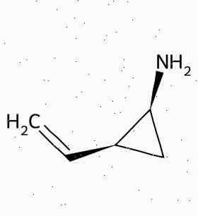 C=C[C@@H]1C[C@@H]1N